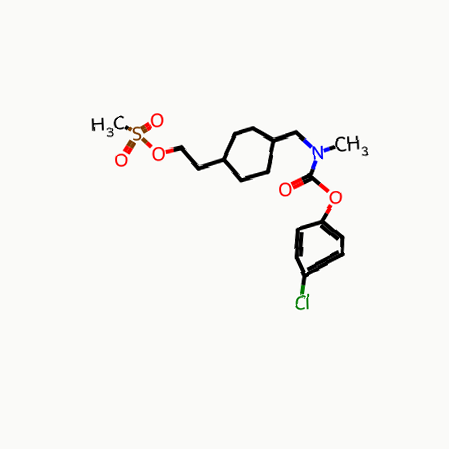 CN(CC1CCC(CCOS(C)(=O)=O)CC1)C(=O)Oc1ccc(Cl)cc1